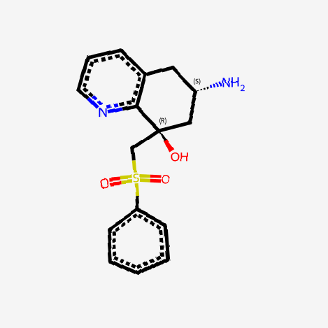 N[C@H]1Cc2cccnc2[C@@](O)(CS(=O)(=O)c2ccccc2)C1